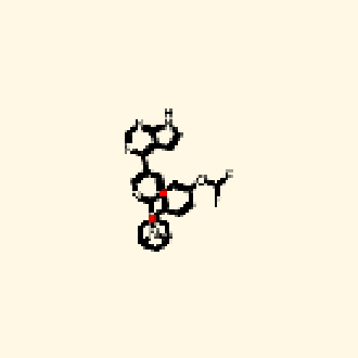 FC(F)Oc1ccc(CN2C3CC2CN(c2ccc(-c4ncnc5[nH]ccc45)cn2)C3)cc1